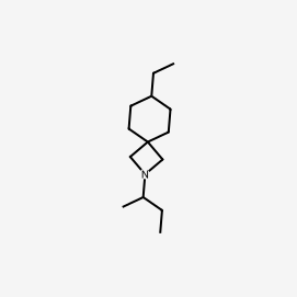 CCC1CCC2(CC1)CN(C(C)CC)C2